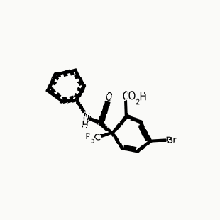 O=C(O)C1C=C(Br)C=CC1(C(=O)Nc1ccccc1)C(F)(F)F